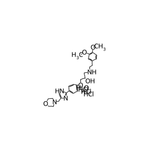 COc1ccc(CCNC[C@H](O)COc2ccc(-c3nc(CN4CCOCC4)c[nH]3)cc2)cc1OC.Cl.Cl.Cl.O